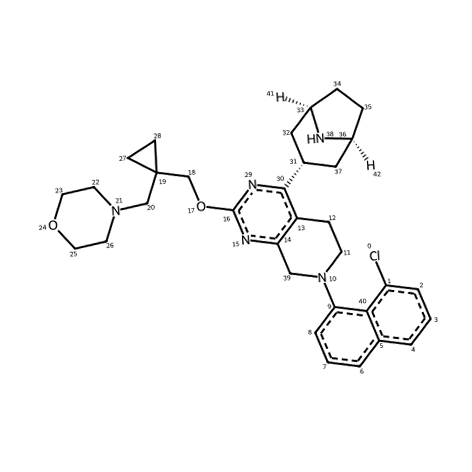 Clc1cccc2cccc(N3CCc4c(nc(OCC5(CN6CCOCC6)CC5)nc4[C@@H]4C[C@H]5CC[C@@H](C4)N5)C3)c12